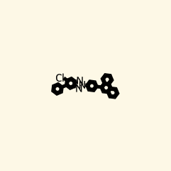 Clc1cc2nn(-c3ccc(-c4cc5ccccc5c5ccccc45)cc3)nc2cc1-c1ccccc1